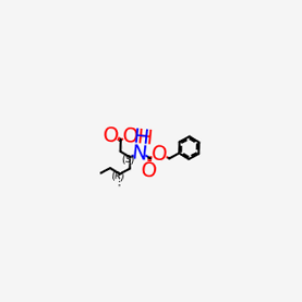 CC[C@@H](C)C[C@@H](CC(=O)O)NC(=O)OCc1ccccc1